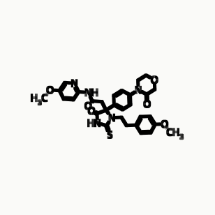 COc1ccc(CCN2C(=S)NC(=O)C2(CC(=O)Nc2ccc(OC)cn2)c2ccc(N3CCOCC3=O)cc2)cc1